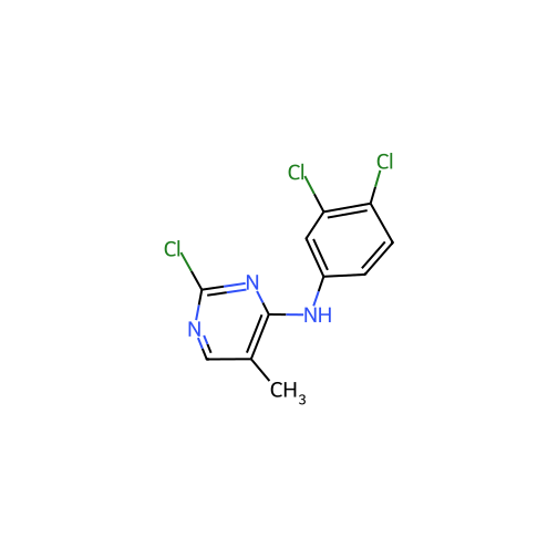 Cc1cnc(Cl)nc1Nc1ccc(Cl)c(Cl)c1